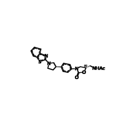 CC(=O)NC[C@H]1CN(c2ccc(C3CCN(c4nc5ccccc5s4)C3)cc2)C(=O)O1